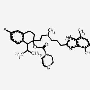 Cc1ccc(C)c2[nH]c(CCCN(C)CCC3(OC(=O)N4CCOCC4)CCc4cc(F)ccc4C3C(C)C)nc12